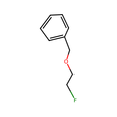 FC[CH]OCc1ccccc1